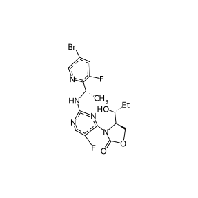 CC[C@@H](O)[C@H]1COC(=O)N1c1nc(N[C@@H](C)c2ncc(Br)cc2F)ncc1F